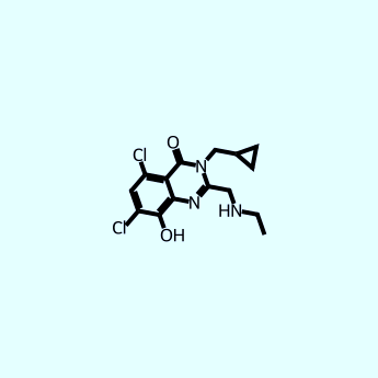 CCNCc1nc2c(O)c(Cl)cc(Cl)c2c(=O)n1CC1CC1